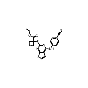 CCOC(=O)C1(Sc2nc(Nc3ccc(C#N)cc3)c3ccsc3n2)CCC1